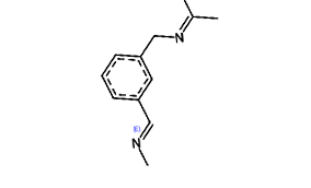 C/N=C/c1cccc(CN=C(C)C)c1